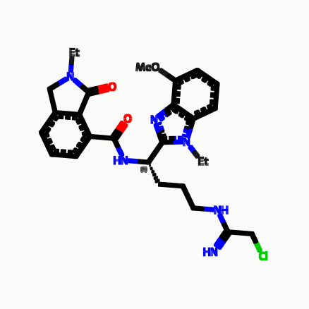 CCN1Cc2cccc(C(=O)N[C@@H](CCCNC(=N)CCl)c3nc4c(OC)cccc4n3CC)c2C1=O